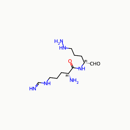 N=CNCCC[C@@H](N)C(=O)N[C@@H](C=O)CCCNN